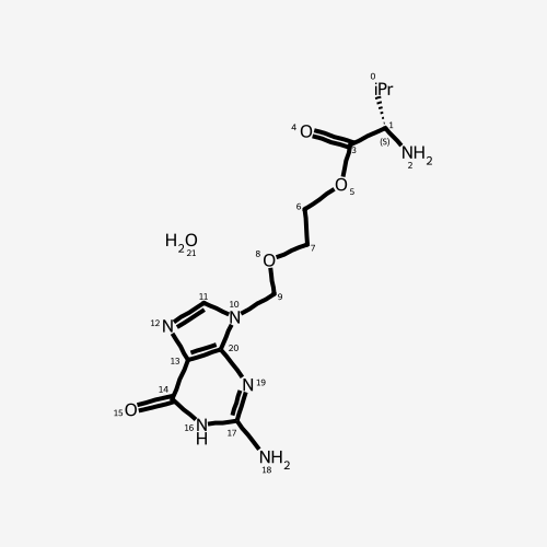 CC(C)[C@H](N)C(=O)OCCOCn1cnc2c(=O)[nH]c(N)nc21.O